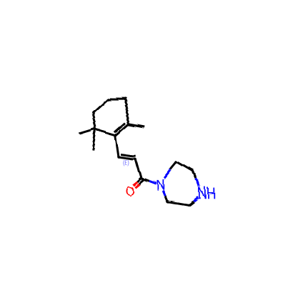 CC1=C(/C=C/C(=O)N2CCNCC2)C(C)(C)CCC1